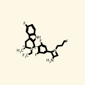 C[C@H]1Cc2c([nH]c3ccc(F)cc23)[C@H](c2c(F)cc(C3C(N)CN3CCCF)cc2F)N1CC(F)(F)F